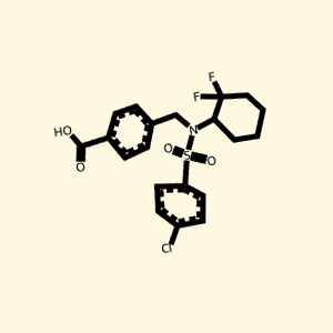 O=C(O)c1ccc(CN(C2CCCCC2(F)F)S(=O)(=O)c2ccc(Cl)cc2)cc1